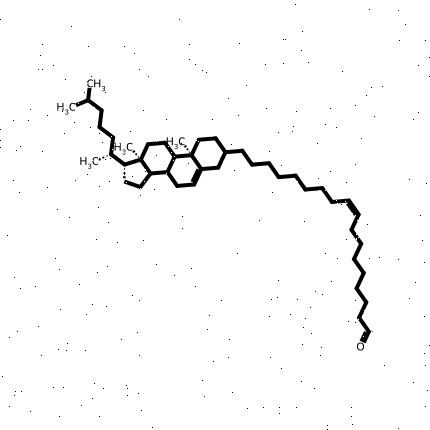 CC(C)CCC[C@@H](C)[C@H]1CCC2C3CC=C4CC(CCCCCCCC/C=C\CCCCCCC[C]=O)CC[C@]4(C)C3CC[C@@]21C